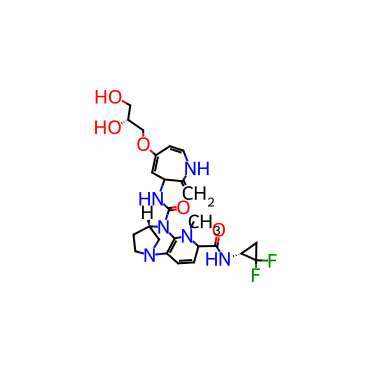 C=C1NC=CC(OC[C@H](O)CO)=CC1NC(=O)N1C2=C(C=CC(C(=O)N[C@@H]3CC3(F)F)N2C)N2CC[C@H]1C2